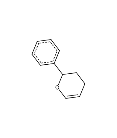 C1=COC(c2ccccc2)CC1